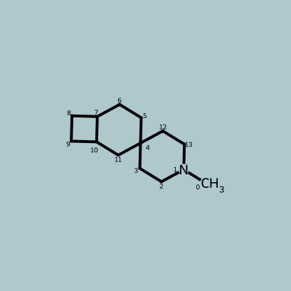 CN1CCC2(CCC3CCC3C2)CC1